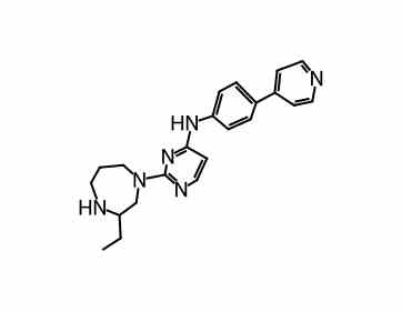 CCC1CN(c2nccc(Nc3ccc(-c4ccncc4)cc3)n2)CCCN1